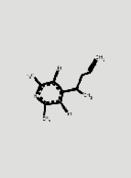 C=CCC(C)c1c(CC)c(C(F)(F)F)nc(C(F)(F)F)c1CC